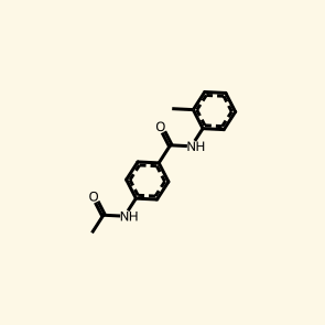 CC(=O)Nc1ccc(C(=O)Nc2ccccc2C)cc1